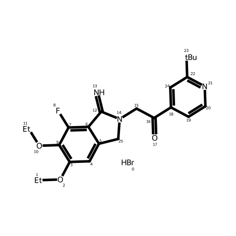 Br.CCOc1cc2c(c(F)c1OCC)C(=N)N(CC(=O)c1ccnc(C(C)(C)C)c1)C2